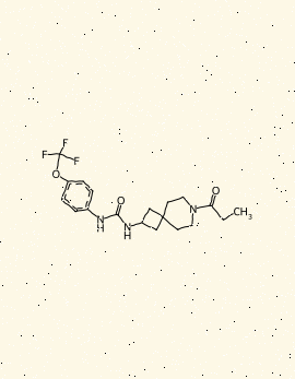 CCC(=O)N1CCC2(CC1)CC(NC(=O)Nc1ccc(OC(F)(F)F)cc1)C2